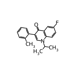 Cc1ccccc1-c1cn(C(C)C)c2ccc(F)cc2c1=O